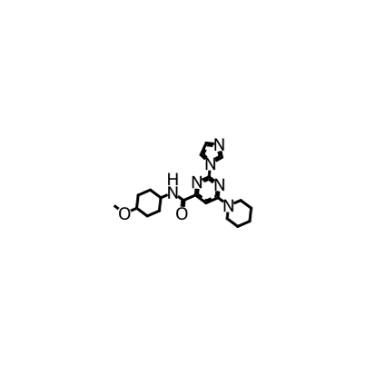 COC1CCC(NC(=O)c2cc(N3CCCCC3)nc(-n3ccnc3)n2)CC1